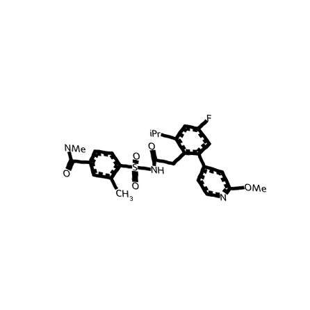 CNC(=O)c1ccc(S(=O)(=O)NC(=O)Cc2c(-c3ccnc(OC)c3)cc(F)cc2C(C)C)c(C)c1